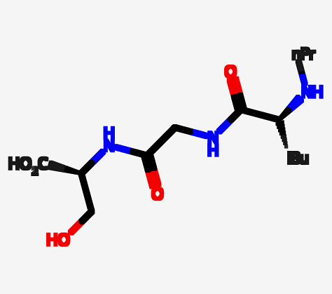 CCCN[C@H](C(=O)NCC(=O)N[C@@H](CO)C(=O)O)[C@@H](C)CC